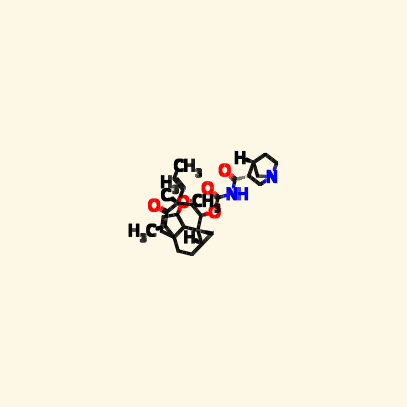 CC=C[C@]1(C)C[C@@H](OC(=O)NC(=O)[C@H]2CN3CC[C@@H]2C3)[C@]23C[C@@H]2CCC2(CC[C@@H](OC)C23)[C@@H](C)C1=O